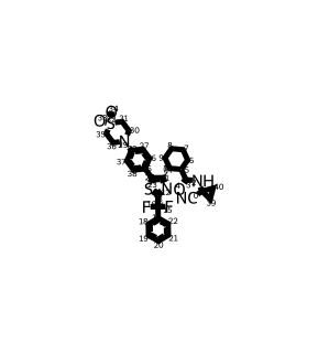 N#CC1(NC(=O)C2CCCC[C@H]2c2nc(C(F)(F)c3ccccc3)sc2-c2ccc(N3CCS(=O)(=O)CC3)cc2)CC1